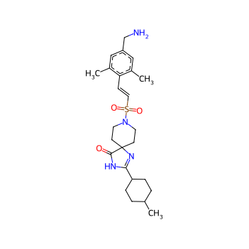 Cc1cc(CN)cc(C)c1/C=C/S(=O)(=O)N1CCC2(CC1)N=C(C1CCC(C)CC1)NC2=O